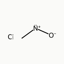 C[N+][O-].[C]